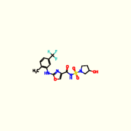 Cc1ccc(C(F)(F)F)cc1Nc1nc(C(=O)NS(=O)(=O)N2CCC(O)C2)co1